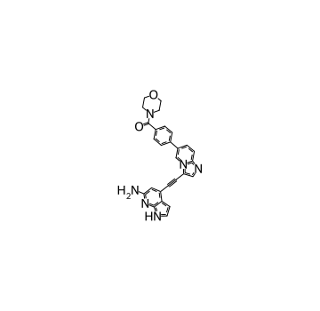 Nc1cc(C#Cc2cnc3ccc(-c4ccc(C(=O)N5CCOCC5)cc4)cn23)c2cc[nH]c2n1